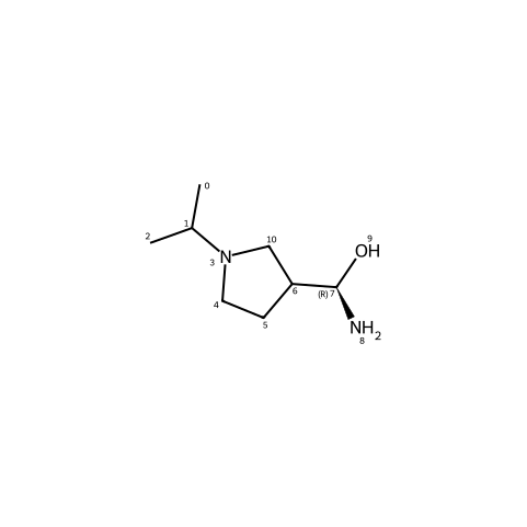 CC(C)N1CCC([C@H](N)O)C1